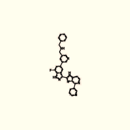 Fc1cc(-c2cncc(CNCc3ccccc3)c2)cc2c(-c3nc4c(-c5cccnc5)nccc4[nH]3)n[nH]c12